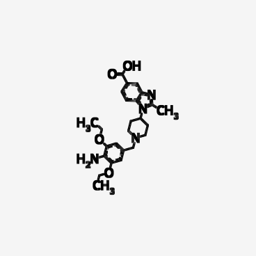 CCOc1cc(CN2CCC(n3c(C)nc4cc(C(=O)O)ccc43)CC2)cc(OCC)c1N